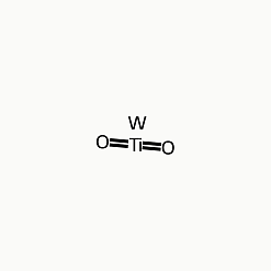 [O]=[Ti]=[O].[W]